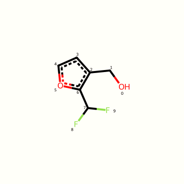 OCc1ccoc1C(F)F